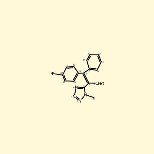 Cn1nnnc1/C(C=O)=C(/c1ccccc1)c1ccc(F)cc1